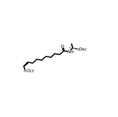 CCCCCCCC/C=C\CCCCCCCC(=O)N[C@@H](C)CCCCCCCCCC